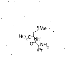 CSCCC(NC(=O)C(N)C(C)C)C(=O)O